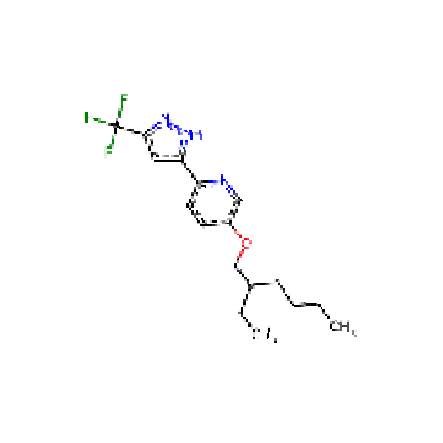 CCCCC(CC)COc1ccc(-c2cc(C(F)(F)F)n[nH]2)nc1